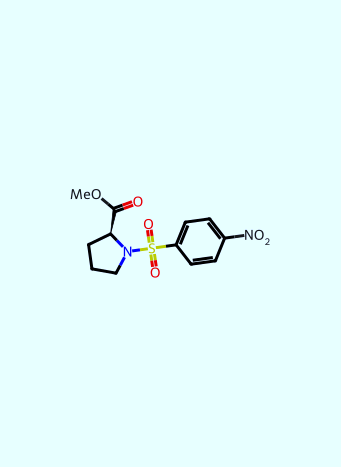 COC(=O)[C@@H]1CCCN1S(=O)(=O)c1ccc([N+](=O)[O-])cc1